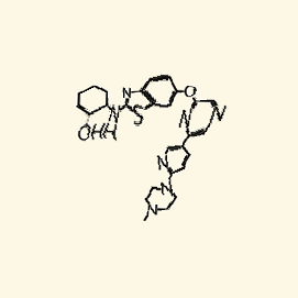 CN1CCN(c2ccc(-c3cncc(Oc4ccc5nc(N[C@@H]6CCCC[C@H]6O)sc5c4)n3)cn2)CC1